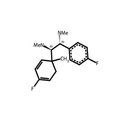 CN[C@H](c1ccc(F)cc1)[C@H](NC)C1(C)C=CC(F)=CC1